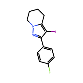 Fc1ccc(-c2nn3c(c2I)CCCC3)cc1